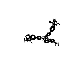 CC[C@@H]1C[C@@H]2C[C@H](CC)CC(c3ccc(-c4ccc(-c5nc(-c6ccc(-c7ccc(C89C[C@H](C)C[C@H](C[C@H](C)C8)C9)cc7)cc6)nc(-c6cccc7c6oc6ccc(C#N)cc67)n5)cc4)cc3)(C2)C1